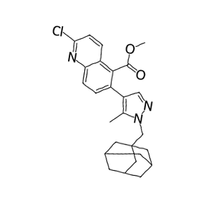 COC(=O)c1c(-c2cnn(CC34CC5CC(CC(C5)C3)C4)c2C)ccc2nc(Cl)ccc12